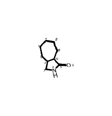 O=C1NCC2CCCCCC12